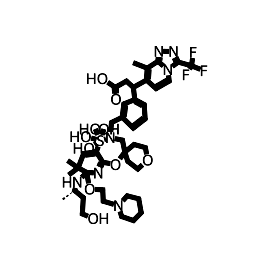 Cc1c(C(CC(=O)O)c2cccc(CN3CC4(CCOCC4)OC4=NC(N[C@@H](C)CCO)(OCCN5CCCCC5)C(C)(C)C=C4S3(O)(O)(O)O)c2)ccn2c(C(F)(F)F)nnc12